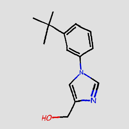 CC(C)(C)c1cccc(-n2cnc(CO)c2)c1